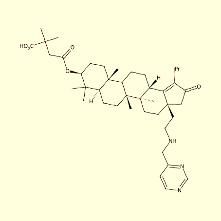 CC(C)C1=C2[C@H]3CCC4[C@@]5(C)CC[C@H](OC(=O)CC(C)(C)C(=O)O)C(C)(C)[C@@H]5CC[C@@]4(C)[C@]3(C)CC[C@@]2(CCNCc2ccncn2)CC1=O